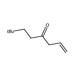 C=CCC(=O)CCC(C)(C)C